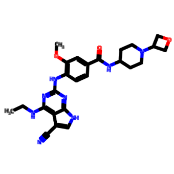 CCNc1nc(Nc2ccc(C(=O)NC3CCN(C4COC4)CC3)cc2OC)nc2[nH]cc(C#N)c12